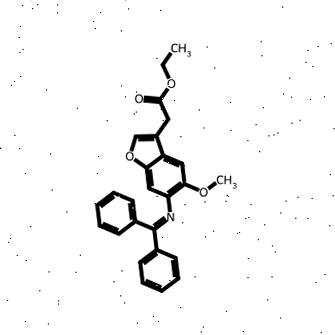 CCOC(=O)Cc1coc2cc(N=C(c3ccccc3)c3ccccc3)c(OC)cc12